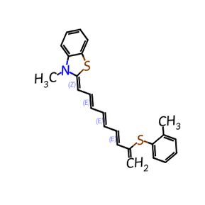 C=C(/C=C/C=C/C=C/C=C1\Sc2ccccc2N1C)Sc1ccccc1C